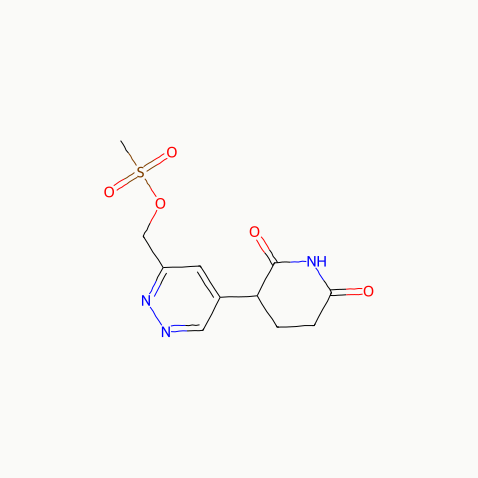 CS(=O)(=O)OCc1cc(C2CCC(=O)NC2=O)cnn1